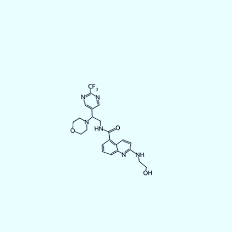 O=C(NCC(c1cnc(C(F)(F)F)nc1)N1CCOCC1)c1cccc2nc(NCCO)ccc12